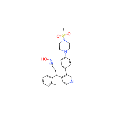 Cc1ccccc1C(C/C=N/O)c1ccncc1-c1ccc(N2CCN(S(C)(=O)=O)CC2)cc1